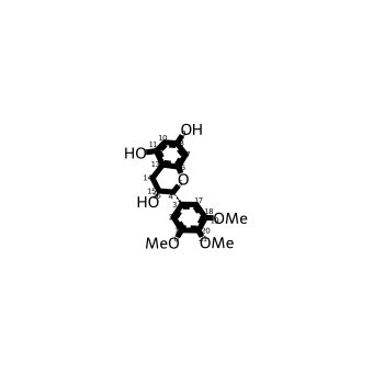 COc1cc([C@H]2Oc3cc(O)cc(O)c3C[C@H]2O)cc(OC)c1OC